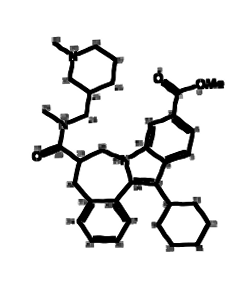 COC(=O)c1ccc2c(C3CCCCC3)c3n(c2c1)CC(C(=O)N(C)CC1CCCN(C)C1)Cc1ccccc1-3